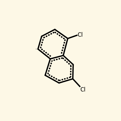 Clc1ccc2[c]ccc(Cl)c2c1